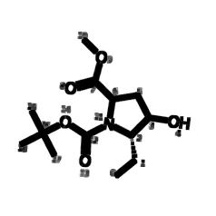 CC[C@H]1C(O)CC(C(=O)OC)N1C(=O)OC(C)(C)C